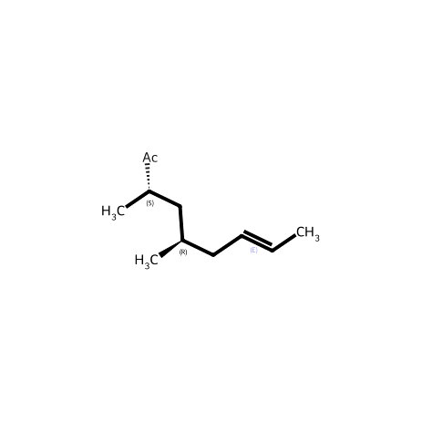 C/C=C/C[C@@H](C)C[C@H](C)C(C)=O